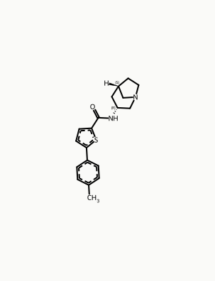 Cc1ccc(-c2ccc(C(=O)N[C@@H]3C[C@@H]4CCN(C4)C3)s2)cc1